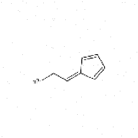 CCCCC=C1C=CC=C1